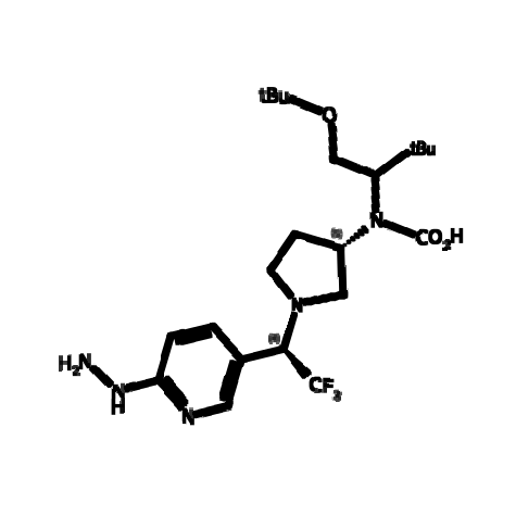 CC(C)(C)OCC(N(C(=O)O)[C@H]1CCN([C@H](c2ccc(NN)nc2)C(F)(F)F)C1)C(C)(C)C